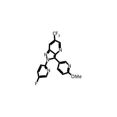 COc1ccc(-c2c3ncc(C(F)(F)F)cc3nn2-c2ccc(F)cn2)cn1